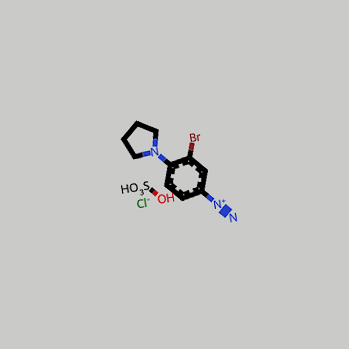 N#[N+]c1ccc(N2CCCC2)c(Br)c1.O=S(=O)(O)O.[Cl-]